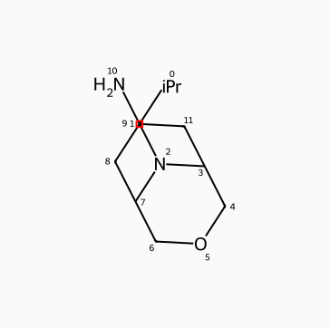 CC(C)CN1C2COCC1CC(N)C2